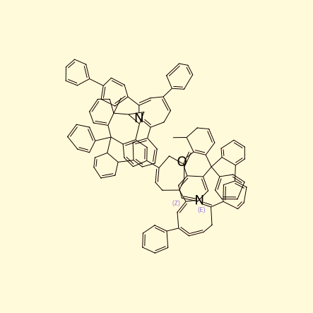 C=C1CC(c2ccc3c(c2)C2CC2C2(C)CC=CC=C2C3(c2ccccc2)C2C=CC=CC2c2cccc(C3=NC(c4ccc(-c5ccccc5)cc4)=CC(c4ccccc4)=CC3)c2)=CCC(C2=C/C(c3ccccc3)=C=CC/C(c3cccc(-c4ccccc4C4(c5ccccc5)C5=C(Oc6ccccc64)C(C)CC=C5)c3)=N\2)C1